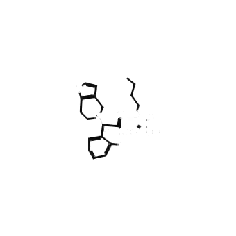 CCCCOS(=O)(=O)O.O=C(O)[C@H](c1ccccc1Cl)N1CCc2sccc2C1